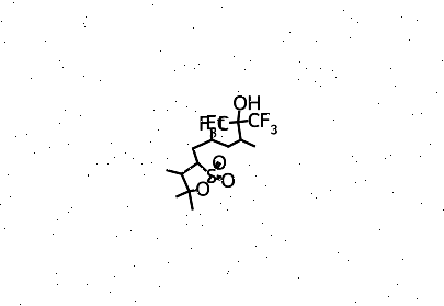 CCC(CC(C)C(O)(C(F)(F)F)C(F)(F)F)CC1C(C)C(C)(C)OS1(=O)=O